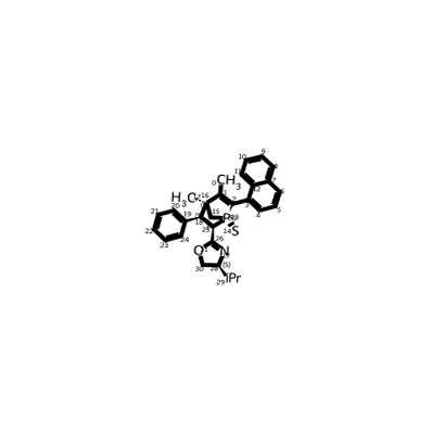 CC1=C(c2cccc3ccccc23)[P@@]2(=S)C[C@@]1(C)[C@H](c1ccccc1)[C@@H]2C1=N[C@@H](C(C)C)CO1